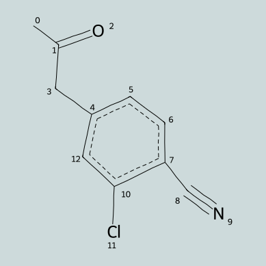 CC(=O)Cc1ccc(C#N)c(Cl)c1